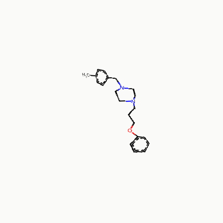 Cc1ccc(CN2CCN(CCCOc3ccccc3)CC2)cc1